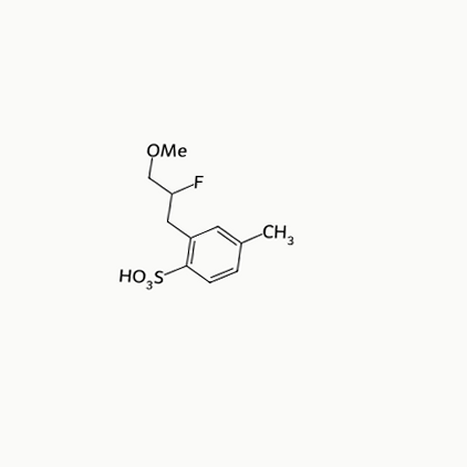 COCC(F)Cc1cc(C)ccc1S(=O)(=O)O